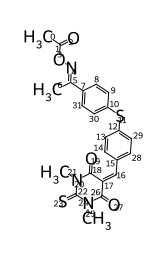 CC(=O)O/N=C(\C)c1ccc(Sc2ccc(C=C3C(=O)N(C)C(=S)N(C)C3=O)cc2)cc1